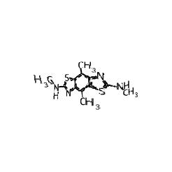 CNc1nc2c(C)c3sc(NC)nc3c(C)c2s1